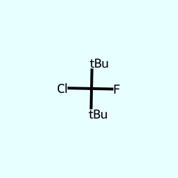 CC(C)(C)C(F)(Cl)C(C)(C)C